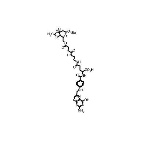 CC1OC2C(COC(=O)CCC(=O)NCCNC(=O)CCC(NC(=O)c3ccc(NCc4cnc5nc(N)nc(O)c5n4)cc3)C(=O)O)OC(OC(C)(C)C)C[C@H]2O1